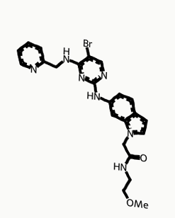 COCCNC(=O)Cn1ccc2ccc(Nc3ncc(Br)c(NCc4ccccn4)n3)cc21